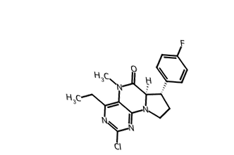 CCc1nc(Cl)nc2c1N(C)C(=O)[C@H]1[C@H](c3ccc(F)cc3)CCN21